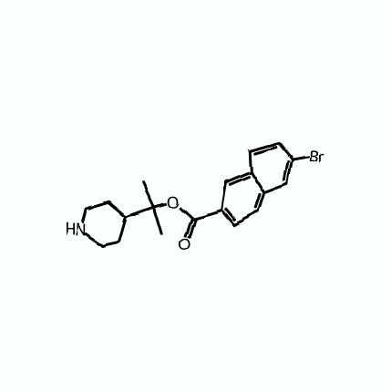 CC(C)(OC(=O)c1ccc2cc(Br)ccc2c1)C1CCNCC1